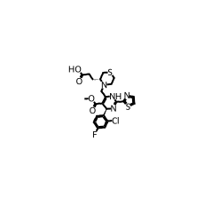 COC(=O)C1=C(CN2CCSC[C@H]2CCC(=O)O)NC(c2nccs2)=N[C@H]1c1ccc(F)cc1Cl